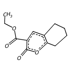 CCOC(=O)c1cc2c(oc1=O)CCCC2